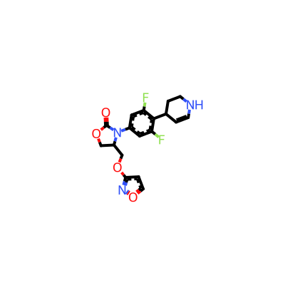 O=C1OCC(COc2ccon2)N1c1cc(F)c(C2C=CNCC2)c(F)c1